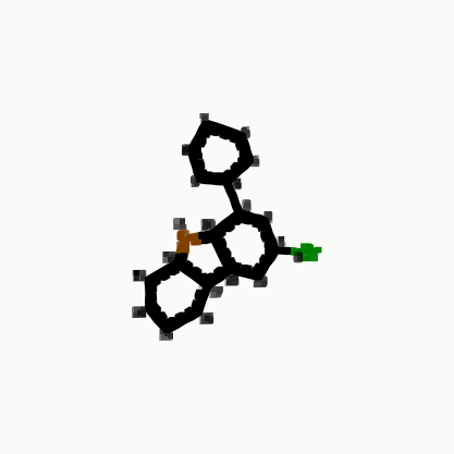 Brc1cc(-c2ccccc2)c2sc3ccccc3c2c1